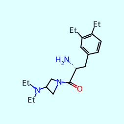 CCc1ccc(C[C@@H](N)C(=O)N2CC(N(CC)CC)C2)cc1CC